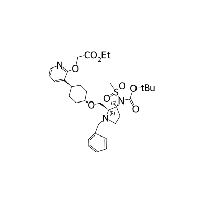 CCOC(=O)COc1ncccc1[C@H]1CC[C@@H](OC[C@H]2[C@@H](N(C(=O)OC(C)(C)C)S(C)(=O)=O)CCN2Cc2ccccc2)CC1